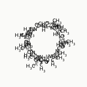 C/C=C/CC(C)C(=O)[C@H]1C(=O)N[C@@H](C(C)C)C(=O)N(C)CC(=O)N(C)[C@@H](CC(C)C)C(=O)N[C@@H](C(C)C)C(=O)N(C)[C@@H](CC(C)C)C(=O)N[C@@H](C)C(=O)N[C@H](C)C(=O)N(C)[C@@H](CC(C)C)C(=O)N(C)[C@@H](CC(C)C)C(=O)N(C)[C@@H](C(C)C)C(=O)N1C